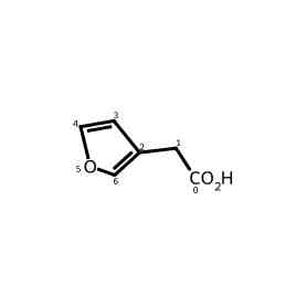 O=C(O)Cc1ccoc1